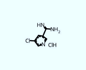 Cl.N=C(N)c1cncc(Cl)c1